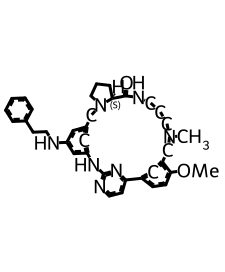 COc1ccc2cc1CN(C)CCCNC(=O)[C@@H]1CCCN1Cc1cc(NCCc3ccccc3)cc(c1)Nc1nccc-2n1